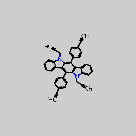 C#CCn1c2ccccc2c2c(-c3ccc(C#C)cc3)c3c(c(-c4ccc(C#C)cc4)c21)c1ccccc1n3CC#C